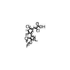 Cn1nc(-c2cc(C=C(Cl)C(=O)O)c(Cl)cc2F)c(Cl)c1OC(F)F